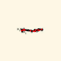 Nc1cc(N)cc(C(=O)OCCOCCOCCOC(=O)/C=C/c2ccc(OC(=O)c3ccc(OCCC(F)(F)F)cc3)cc2)c1